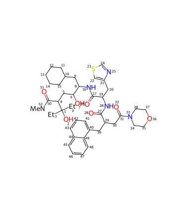 CCC(O)(CC)C(CC(O)C(CC1CCCCC1)NC(=O)C(Cc1cscn1)NC(=O)C(CC(=O)N1CCOCC1)Cc1cccc2ccccc12)C(=O)NC